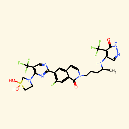 CC(CCCn1ccc2cc(-c3ncc(C(F)(F)F)c(N4CCS(O)(O)C4)n3)c(F)cc2c1=O)Nc1cn[nH]c(=O)c1C(F)(F)F